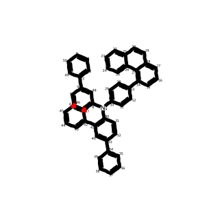 c1ccc(-c2cccc(N(c3ccc(-c4cccc5ccc6ccccc6c45)cc3)c3ccc(-c4ccccc4)cc3-c3ccccc3)c2)cc1